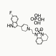 O=P(O)(O)O.O=S1(=O)N(CCN2CC=C(c3c[nH]c4cc(F)ccc34)CC2)c2cccc3c2N1CCC3